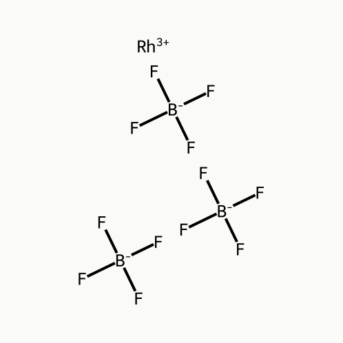 F[B-](F)(F)F.F[B-](F)(F)F.F[B-](F)(F)F.[Rh+3]